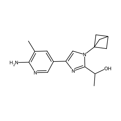 Cc1cc(-c2cn(C34CC(C3)C4)c(C(C)O)n2)cnc1N